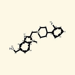 Cn1c(CN2CCC(c3ccccc3F)CC2)nc2cc(CO)ccc21